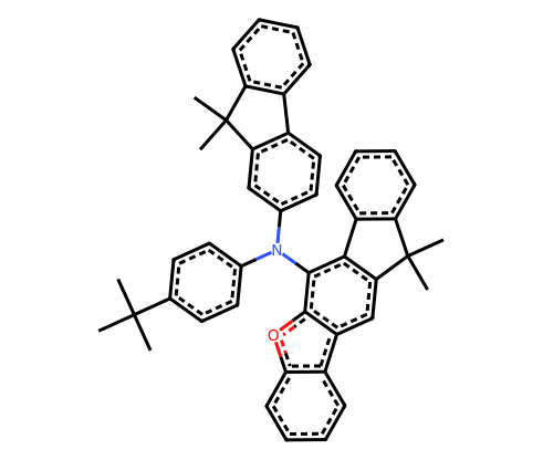 CC(C)(C)c1ccc(N(c2ccc3c(c2)C(C)(C)c2ccccc2-3)c2c3c(cc4c2oc2ccccc24)C(C)(C)c2ccccc2-3)cc1